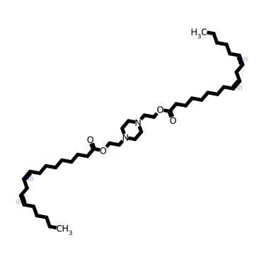 CCCCC/C=C\C/C=C\CCCCCCCC(=O)OCCN1CCN(CCOC(=O)CCCCCCC/C=C\C/C=C\CCCCC)CC1